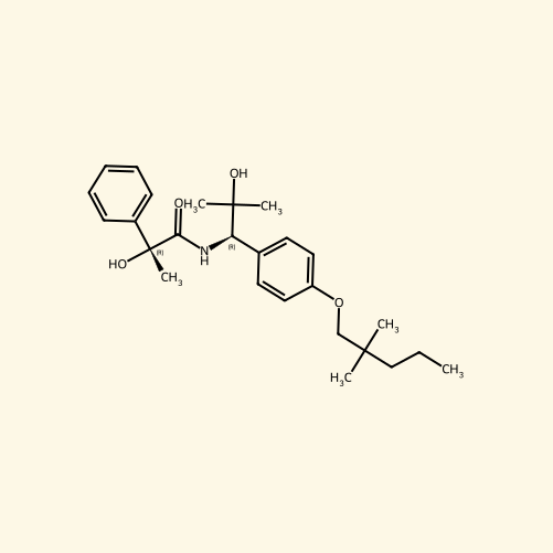 CCCC(C)(C)COc1ccc([C@@H](NC(=O)[C@](C)(O)c2ccccc2)C(C)(C)O)cc1